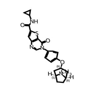 CN1[C@@H]2CC[C@H]1C[C@@H](Oc1ccc(-n3cnc4cc(C(=O)NC5CC5)sc4c3=O)cc1)C2